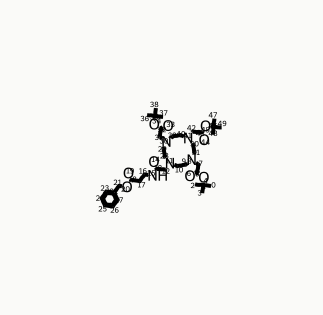 CC(C)(C)OC(=O)CN1CCN(CC(=O)NCCC(=O)OCc2ccccc2)CCN(CC(=O)OC(C)(C)C)CCN(CC(=O)OC(C)(C)C)CC1